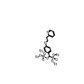 CCOP(=O)(OCC)OC(c1ccc(OCCc2ccccn2)cc1)P(=O)(OCC)OCC